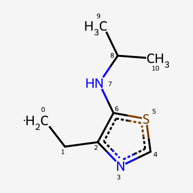 [CH2]Cc1ncsc1NC(C)C